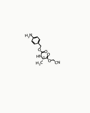 C[C@H](NC(=O)OCc1ccc(N)cc1)C(=O)OCC#N